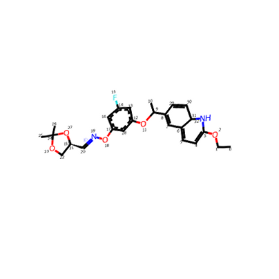 CCOC1=CC=C2C=C(C(C)Oc3cc(F)cc(O/N=C/[C@H]4COC(C)(C)O4)c3)C=CC2N1